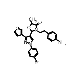 CC1OC(c2cn(-c3ccc(Br)cc3)nc2-c2ccoc2)N(CCc2ccc(N)cc2)C1=O